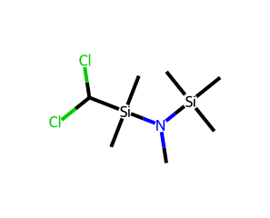 CN([Si](C)(C)C)[Si](C)(C)C(Cl)Cl